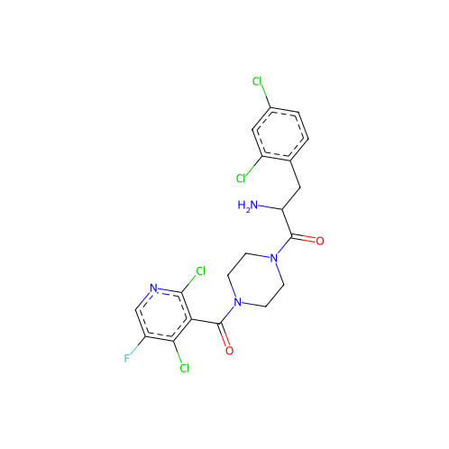 NC(Cc1ccc(Cl)cc1Cl)C(=O)N1CCN(C(=O)c2c(Cl)ncc(F)c2Cl)CC1